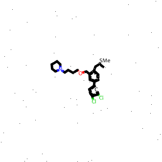 [CH2]C(Cc1ccc(-c2ccc(Cl)c(Cl)c2)cc1COCCCCN1CCCCC1)SC